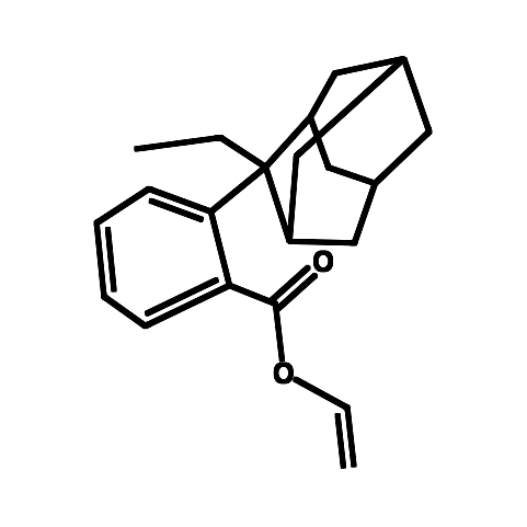 C=COC(=O)c1ccccc1C1(CC)C2CC3CC(C2)CC1C3